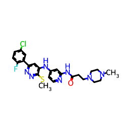 CSc1nnc(-c2cc(Cl)ccc2F)cc1Nc1ccnc(NC(=O)CCN2CCN(C)CC2)c1